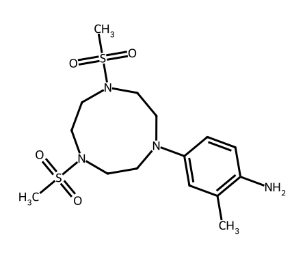 Cc1cc(N2CCN(S(C)(=O)=O)CCN(S(C)(=O)=O)CC2)ccc1N